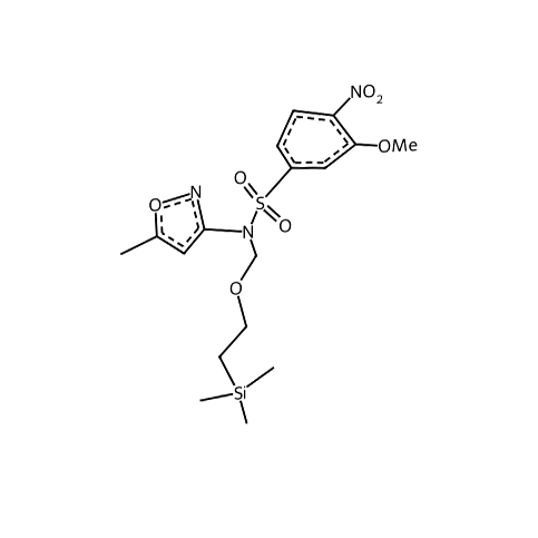 COc1cc(S(=O)(=O)N(COCC[Si](C)(C)C)c2cc(C)on2)ccc1[N+](=O)[O-]